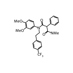 CNC(=O)C(C(=O)N(CCc1ccc(C(F)(F)F)cc1)c1ccc(OC)c(OC)c1)c1ccccc1